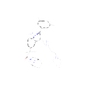 Cc1cc(C)cc(-c2[nH]c3ccc(C(C)(C)C(=O)N4C5CCC4CC5)cc3c2[C@H](C)CNCCN2CCOCC2)c1